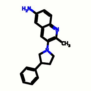 Cc1nc2ccc(N)cc2cc1N1CCC(c2ccccc2)C1